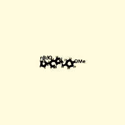 CCCCOc1c(-c2cccs2)cnc2c1cnn2Cc1ccc(OC)cc1